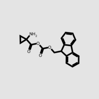 NC1(C(=O)OC(=O)OCC2c3ccccc3-c3ccccc32)CC1